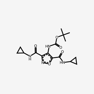 CC(C)(C)OC(=O)Nc1c(C(=O)NC2CC2)noc1C(=O)NC1CC1